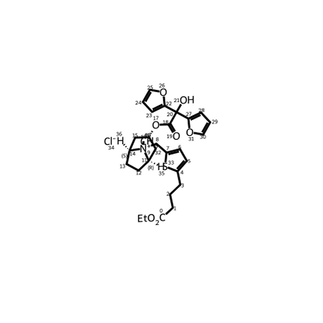 CCOC(=O)CCCc1ccc(C[N+]2(C)[C@@H]3CC[C@H]2C[C@H](OC(=O)C(O)(c2ccco2)c2ccco2)C3)s1.[Cl-]